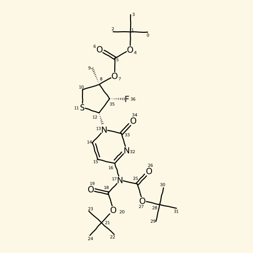 CC(C)(C)OC(=O)O[C@]1(C)CS[C@@H](n2ccc(N(C(=O)OC(C)(C)C)C(=O)OC(C)(C)C)nc2=O)[C@H]1F